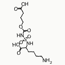 NCCCCC(NS(=O)(=O)NC(=O)OCCCC(=O)O)C(=O)O